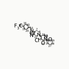 O=c1c(Cl)c(N2CCc3c(ncn3Cc3ccc(C(F)(F)F)cc3)C2)cnn1C1CCCCO1